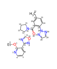 CCOc1ncccc1-c1noc([C@@H]2CCCN2C(=O)c2cc(C)ccc2-n2nccn2)n1